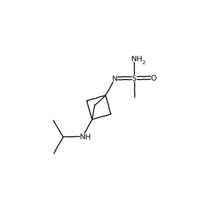 CC(C)NC12CC(N=S(C)(N)=O)(C1)C2